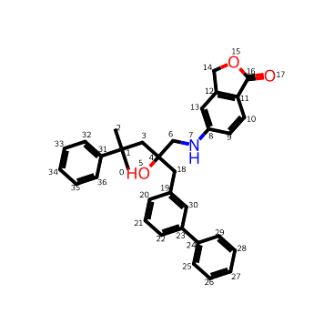 CC(C)(CC(O)(CNc1ccc2c(c1)COC2=O)Cc1cccc(-c2ccccc2)c1)c1ccccc1